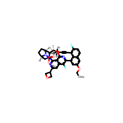 COCOc1cc(-c2nc3c4c(nc(C5COC5)cc4c2F)N2C[C@H]4CC[C@@H]([C@H]2[C@H](C)O3)N4C(=O)OC(C)(C)C)c2c(C#C[Si](C(C)C)(C(C)C)C(C)C)c(F)ccc2c1